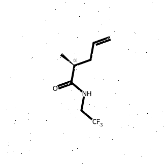 C=CC[C@H](C)C(=O)NCC(F)(F)F